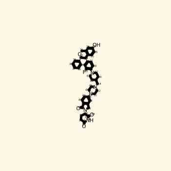 O=C1CC[C@H](N2Cc3cc(N4CCN(CC5CCN(c6ccc([C@H]7c8ccc(O)cc8CO[C@H]7c7ccccc7)cc6F)CC5)CC4)ccc3C2=O)C(=O)N1